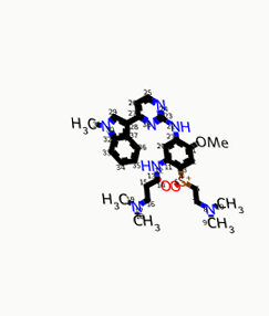 COc1cc([S+]([O-])CCN(C)C)c(NC(=O)CCN(C)C)cc1Nc1nccc(-c2cn(C)c3ccccc23)n1